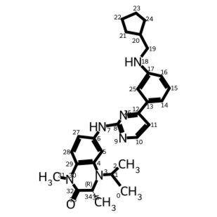 CC(C)N1c2cc(Nc3nccc(-c4cccc(NCC5CCCC5)c4)n3)ccc2N(C)C(=O)[C@H]1C